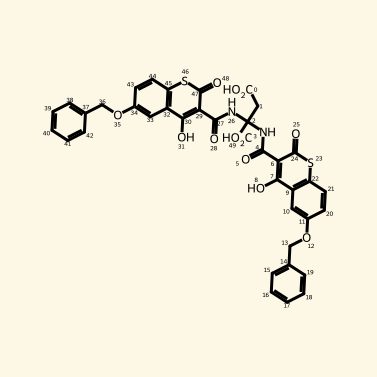 O=C(O)CC(NC(=O)c1c(O)c2cc(OCc3ccccc3)ccc2sc1=O)(NC(=O)c1c(O)c2cc(OCc3ccccc3)ccc2sc1=O)C(=O)O